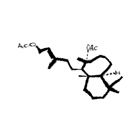 CC(=O)OC/C=C(\C)CC[C@@H]1[C@@]2(C)CCCC(C)(C)[C@@H]2CC[C@@]1(C)OC(C)=O